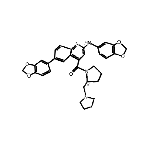 O=C(c1cc(Nc2ccc3c(c2)OCO3)nc2ccc(-c3ccc4c(c3)OCO4)cc12)N1CCC[C@H]1CN1CCCC1